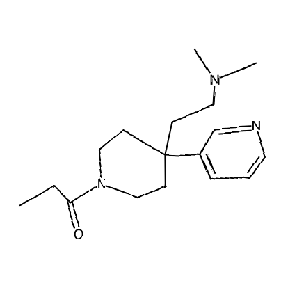 CCC(=O)N1CCC(CCN(C)C)(c2cccnc2)CC1